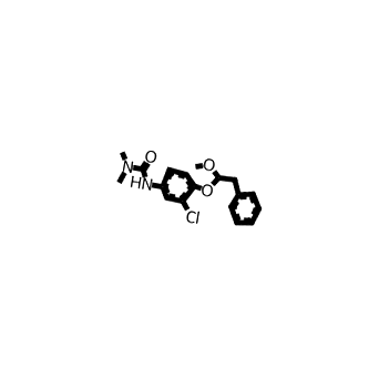 COC(Cc1ccccc1)Oc1ccc(NC(=O)N(C)C)cc1Cl